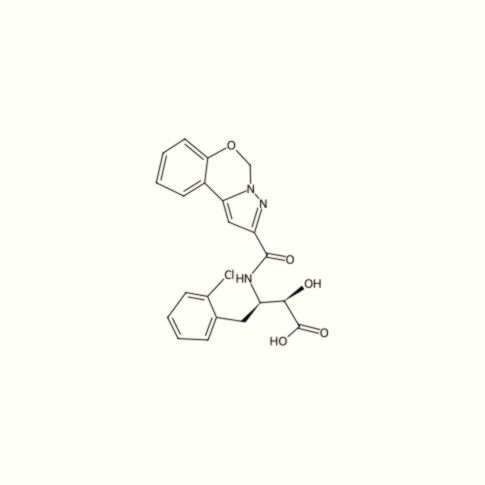 O=C(N[C@H](Cc1ccccc1Cl)[C@@H](O)C(=O)O)c1cc2n(n1)COc1ccccc1-2